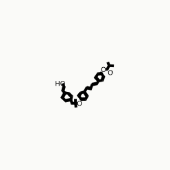 COC(Oc1ccc(C=CC=Cc2ccc(OC(C)(C)Cc3ccc(C=CO)cc3)cc2)cc1)C(C)C